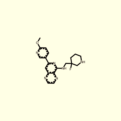 COc1ccc(-c2cc3nccnc3c(NCC3(F)CCCNC3)n2)cn1